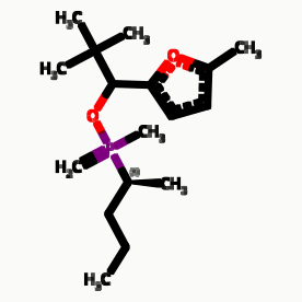 C=P(C)(OC(c1ccc(C)o1)C(C)(C)C)[C@@H](C)CCC